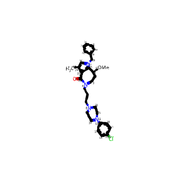 COC1CCN(CCCN2CCN(c3ccc(Cl)cc3)CC2)C(=O)c2c(C)cn(Cc3ccccc3)c21